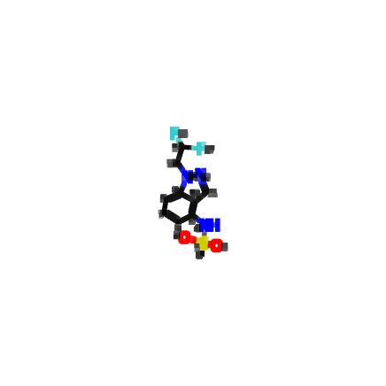 CS(=O)(=O)Nc1cccc2c1cnn2CC(F)F